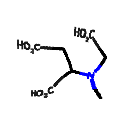 CN(CC(=O)O)C(CC(=O)O)C(=O)O